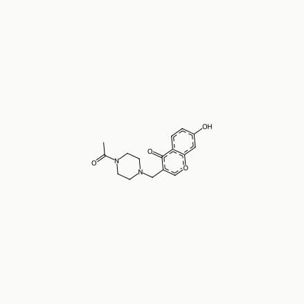 CC(=O)N1CCN(Cc2coc3cc(O)ccc3c2=O)CC1